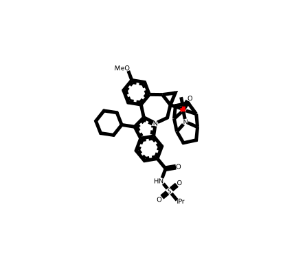 COc1ccc2c(c1)C1CC1(C(=O)N1C3CCC1C1CCC3N1C)Cn1c-2c(C2CCCCC2)c2ccc(C(=O)NS(=O)(=O)C(C)C)cc21